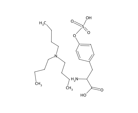 CCCCN(CCCC)CCCC.NC(Cc1ccc(OS(=O)(=O)O)cc1)C(=O)O